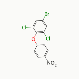 O=[N+]([O-])c1ccc(Oc2c(Cl)cc(Br)cc2Cl)cc1